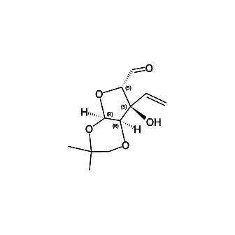 C=C[C@@]1(O)[C@@H](C=O)O[C@@H]2OC(C)(C)CO[C@@H]21